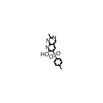 Cc1ccc(S(=O)(=O)c2cc3cnc(C)nc3nc2O)cc1